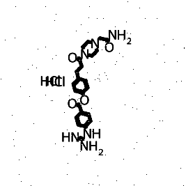 Cl.Cl.N=C(N)Nc1ccc(C(=O)Oc2ccc(CCC(=O)N3CCN(CC(N)=O)CC3)cc2)cc1